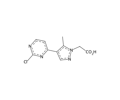 Cc1c(-c2ccnc(Cl)n2)cnn1CC(=O)O